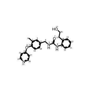 Cc1cc(CNC(=O)Nc2ccccc2CCO)ccc1Oc1ccncc1